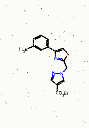 Bc1cccc(-c2csc(Cn3cc(C(=O)OCC)cn3)n2)c1